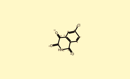 O=C1NC(=O)c2ccc(Cl)cc2C1=O